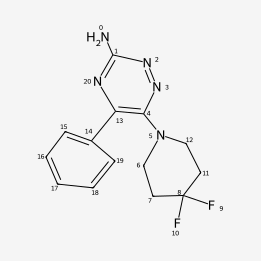 Nc1nnc(N2CCC(F)(F)CC2)c(-c2ccccc2)n1